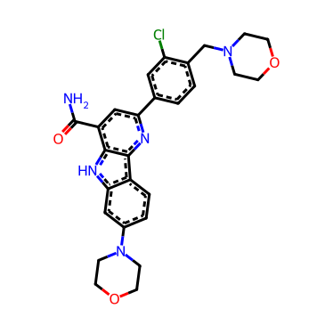 NC(=O)c1cc(-c2ccc(CN3CCOCC3)c(Cl)c2)nc2c1[nH]c1cc(N3CCOCC3)ccc12